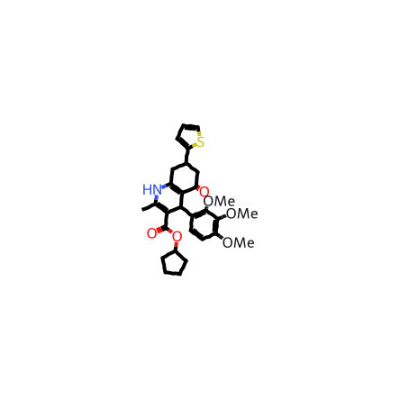 COc1ccc(C2C(C(=O)OC3CCCC3)=C(C)NC3=C2C(=O)CC(c2cccs2)C3)c(OC)c1OC